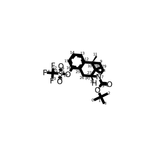 CC(C)(C)OC(=O)N1CC[C@@]2(C)c3cccc(OS(=O)(=O)C(F)(F)F)c3C[C@@H]1C2(C)C